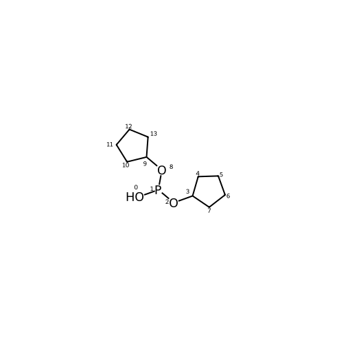 OP(OC1CCCC1)OC1CCCC1